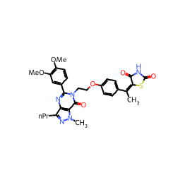 CCCc1nn(C)c2c(=O)n(CCOc3ccc(/C(C)=C4/SC(=O)NC4=O)cc3)c(-c3ccc(OC)c(OC)c3)nc12